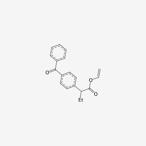 C=COC(=O)C(CC)c1ccc(C(=O)c2ccccc2)cc1